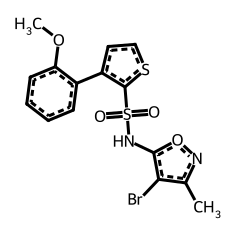 COc1ccccc1-c1ccsc1S(=O)(=O)Nc1onc(C)c1Br